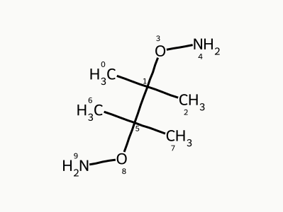 CC(C)(ON)C(C)(C)ON